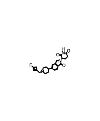 O=C1CCC(N2Cc3cc(C4CCN(CC56CC(F)(C5)C6)CC4)ccc3C2=O)C(=O)N1